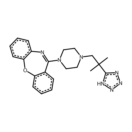 CC(C)(CN1CCN(C2=Nc3ccccc3Oc3ccccc32)CC1)c1nnn[nH]1